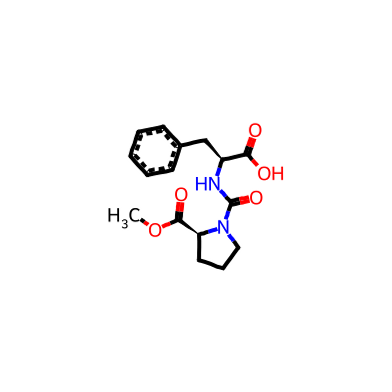 COC(=O)[C@@H]1CCCN1C(=O)N[C@@H](Cc1ccccc1)C(=O)O